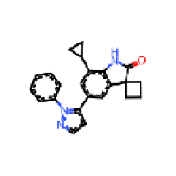 O=C1Nc2c(C3CC3)cc(-c3ccnn3-c3ccccc3)cc2C12CCC2